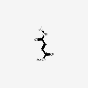 CCC(C)NC(=O)C=CC(=O)OC